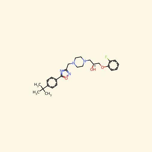 CC(C)(C)c1ccc(-c2nc(CN3CCN(C[C@H](O)COc4ccccc4F)CC3)no2)cc1